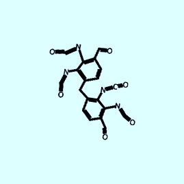 O=C=Nc1c(C=O)ccc(Cc2ccc(C=O)c(N=C=O)c2N=C=O)c1N=C=O